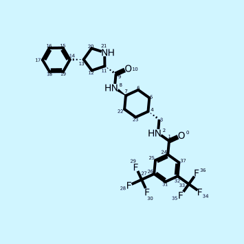 O=C(NC[C@H]1CC[C@H](NC(=O)[C@@H]2C[C@H](c3ccccc3)CN2)CC1)c1cc(C(F)(F)F)cc(C(F)(F)F)c1